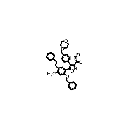 CCNC(=O)c1noc(-c2cc(CCc3ccccc3)c(C)cc2OCc2ccccc2)c1-c1ccc(CN2CCOCC2)cc1